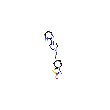 O=c1[nH]c2ccc(CCN3CCN(c4ncccn4)CC3)cc2s1